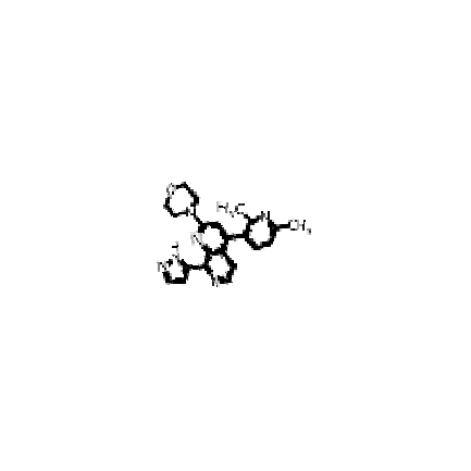 Cc1ccc(-c2cc(N3CCOCC3)nc3c(-c4ccn[nH]4)nccc23)c(C)n1